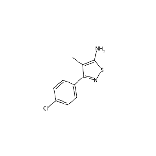 Cc1c(-c2ccc(Cl)cc2)nsc1N